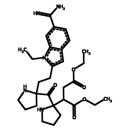 CCOC(=O)CC(C(=O)OCC)C1(C(=O)C2(CCc3cc4ccc(C(=N)N)cc4n3CC)CCCN2)CCCN1